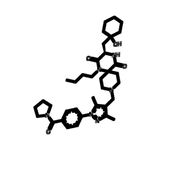 CCCCN1C(=O)[C@@H](CC2(O)CCCCC2)NC(=O)C12CCN(Cc1c(C)nn(-c3ccc(C(=O)N4CCCC4)cc3)c1C)CC2